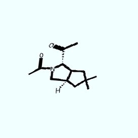 CC(=O)[C@@H]1C2CC(C)(C)C[C@H]2CN1C(C)=O